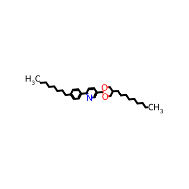 CCCCCCCCCC1COC(c2ccc(-c3ccc(CCCCCCCC)cc3)nc2)OC1